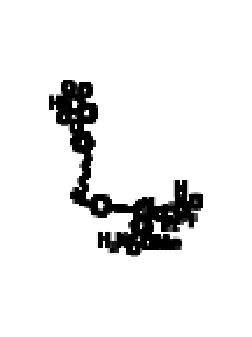 CC[C@@H]1[C@H](F)C(=O)N[C@@H]1COc1ncc(C#CC2CCC(CN(C)CCCCCc3ccc(Oc4cccc5c4C(=O)NC(=O)C5=O)cc3)CC2)c2cc(C(N)=O)c(OC)cc12